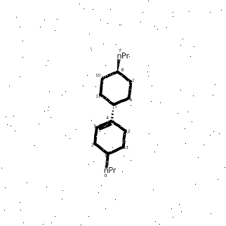 CCCC1CC=C([C@H]2CC[C@H](CCC)CC2)CC1